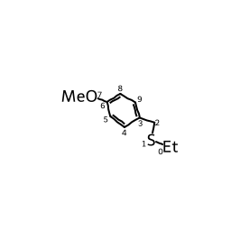 CCSCc1ccc(OC)cc1